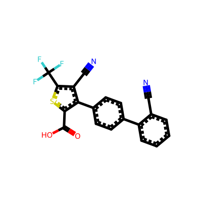 N#Cc1ccccc1-c1ccc(-c2c(C(=O)O)sc(C(F)(F)F)c2C#N)cc1